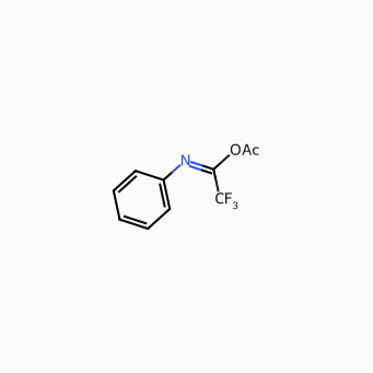 CC(=O)O/C(=N/c1ccccc1)C(F)(F)F